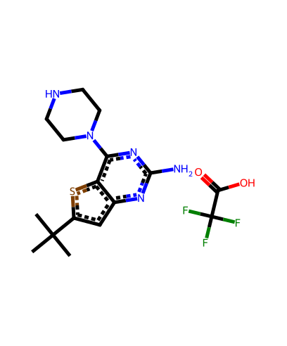 CC(C)(C)c1cc2nc(N)nc(N3CCNCC3)c2s1.O=C(O)C(F)(F)F